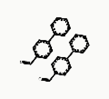 O=Cc1ccc(-c2ccccc2)cc1.O=Cc1ccc(-c2ccccc2)cc1